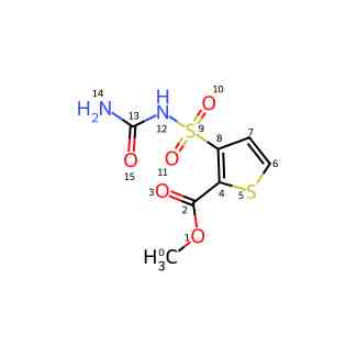 COC(=O)c1sccc1S(=O)(=O)NC(N)=O